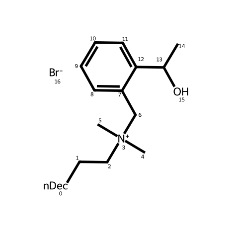 CCCCCCCCCCCC[N+](C)(C)Cc1ccccc1C(C)O.[Br-]